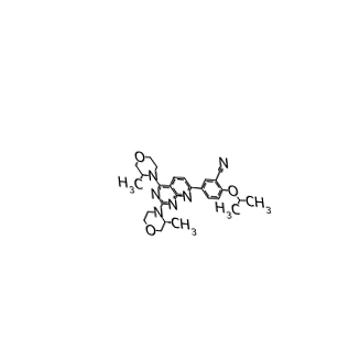 CC(C)Oc1ccc(-c2ccc3c(N4CCOC[C@@H]4C)nc(N4CCOC[C@@H]4C)nc3n2)cc1C#N